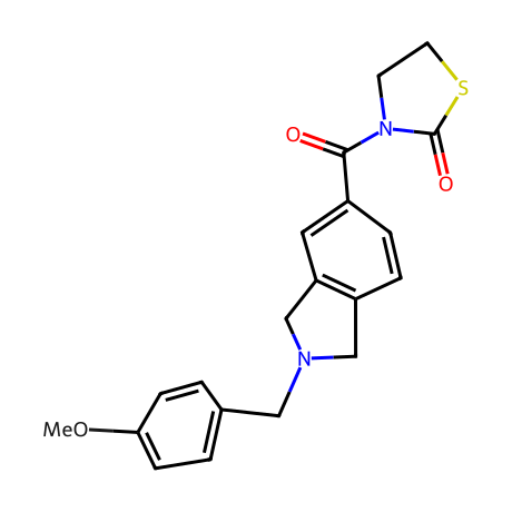 COc1ccc(CN2Cc3ccc(C(=O)N4CCSC4=O)cc3C2)cc1